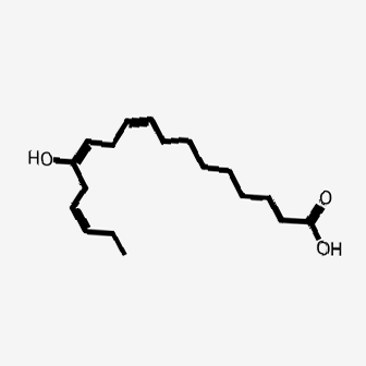 CC/C=C\C/C(O)=C\C/C=C\CCCCCCCC(=O)O